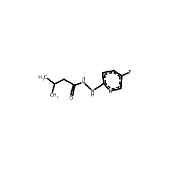 CC(C)CC(=O)NNc1ccc(F)cn1